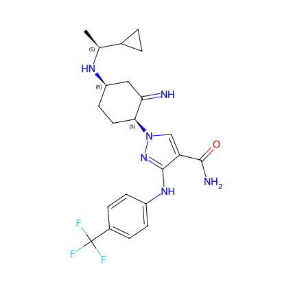 C[C@H](N[C@@H]1CC[C@H](n2cc(C(N)=O)c(Nc3ccc(C(F)(F)F)cc3)n2)C(=N)C1)C1CC1